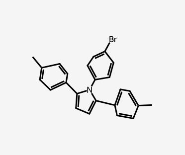 Cc1ccc(-c2ccc(-c3ccc(C)cc3)n2-c2ccc(Br)cc2)cc1